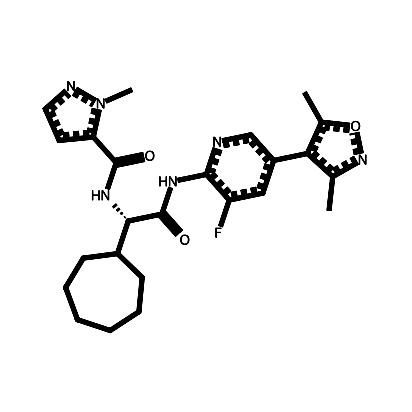 Cc1noc(C)c1-c1cnc(NC(=O)[C@@H](NC(=O)c2ccnn2C)C2CCCCCC2)c(F)c1